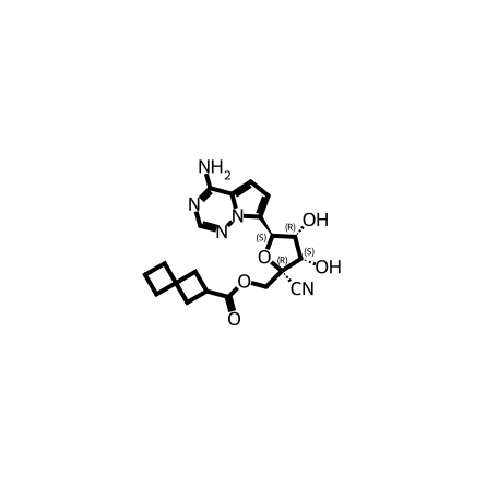 N#C[C@]1(COC(=O)C2CC3(CCC3)C2)O[C@@H](c2ccc3c(N)ncnn23)[C@H](O)[C@@H]1O